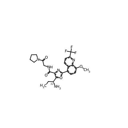 CC[C@H](N)c1oc(-c2ccc(OC)c3nc(C(F)(F)F)ccc23)nc1C(=O)NCC(=O)N1CCCC1